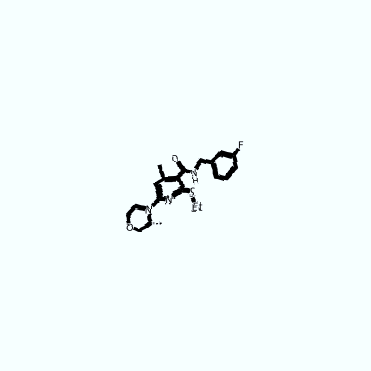 CCSc1nc(N2CCOC[C@H]2C)cc(C)c1C(=O)NCc1cccc(F)c1